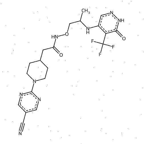 CC(CONC(=O)CC1CCN(c2ncc(C#N)cn2)CC1)Nc1cn[nH]c(=O)c1C(F)(F)F